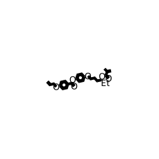 C=CCOc1ccc(C(=O)Oc2ccc(OCCCC(CC)OC(=O)C(=C)C)cc2)cc1